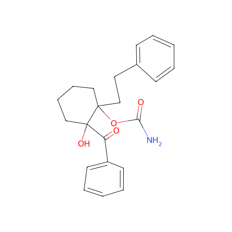 NC(=O)OC1(CCc2ccccc2)CCCCC1(O)C(=O)c1ccccc1